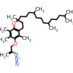 C=C(COc1c(C)c(C)c2c(c1C)CCC(C)(CCCC(C)CCCC(C)CCCC(C)C)O2)N=[N+]=[N-]